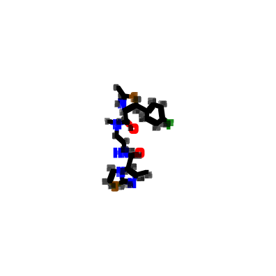 Cc1nc(C(=O)N(C)CCNC(=O)c2c(C)nc3sccn23)c(-c2ccc(F)cc2)s1